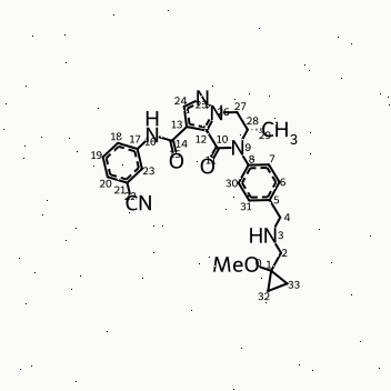 COC1(CNCc2ccc(N3C(=O)c4c(C(=O)Nc5cccc(C#N)c5)cnn4C[C@@H]3C)cc2)CC1